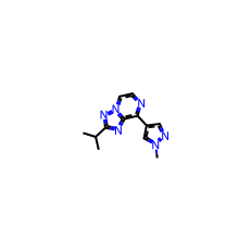 CC(C)c1nc2c(-c3cnn(C)c3)nccn2n1